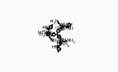 Cc1ccc2c(CC(=O)[C@@](N)(CCCCN)C(=O)Nc3ccc(C(c4ccc(NC(=O)[C@](N)(CCCCN)C(=O)Cc5c[nH]c6cc(C)ccc56)cc4)c4ccc(NC(=O)[C@](N)(CCCCN)C(=O)Cc5c[nH]c6cc(C)ccc56)cc4)cc3)c[nH]c2c1.Cl